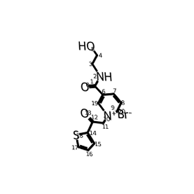 O=C(NCCO)c1ccc[n+](CC(=O)c2cccs2)c1.[Br-]